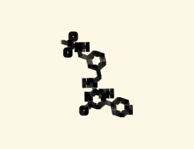 CS(=O)(=O)NCc1cccc(CNc2nc(=O)cc(-c3ccncc3)[nH]2)c1